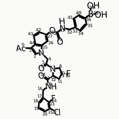 CC(=O)c1cn(CC(=O)N2C[C@H](F)C[C@H]2C(=O)NCc2cccc(Cl)c2F)c2cc(OC(=O)NCc3ccc(B(O)O)cc3)ccc12